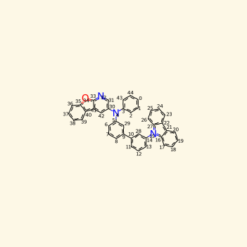 c1ccc(N(c2cccc(-c3cccc(-n4c5ccccc5c5ccccc54)c3)c2)c2cnc3oc4ccccc4c3c2)cc1